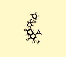 O=C(O)c1cn(C2CC2)c2cc(N3CCC(O)(CN4CCCC4)C3)c(F)cc2c1=O